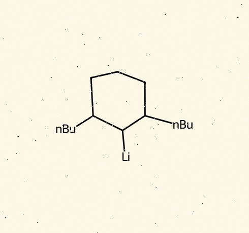 [Li][CH]1C(CCCC)CCCC1CCCC